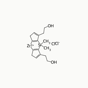 C[Si]1(C)C2=[C](CC=C2CCO)[Zr+2][C]2=C1C(CCO)=CC2.[Cl-].[Cl-]